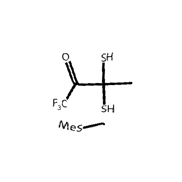 CC(S)(S)C(=O)C(F)(F)F.CSC